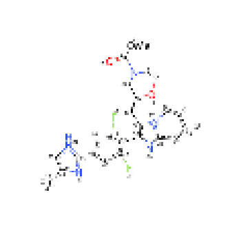 COC(=O)N1CCO[C@@H](Cc2c(-c3c(F)cc(-c4nc(C(F)(F)F)c[nH]4)cc3F)nc3cc(C)ccn23)C1